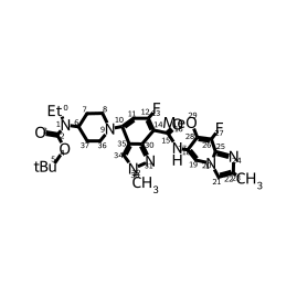 CCN(C(=O)OC(C)(C)C)C1CCN(c2cc(F)c(C(=O)Nc3cn4cc(C)nc4c(F)c3OC)c3nn(C)cc23)CC1